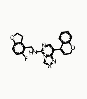 Fc1ccc2c(c1CNc1ncc(C3=CCOc4ccccc43)c3nncn13)CCO2